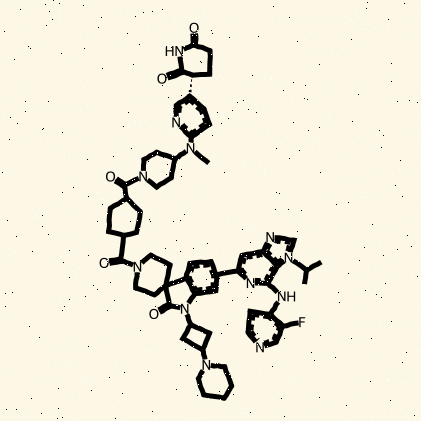 CC(C)n1cnc2cc(-c3ccc4c(c3)N(C3CC(N5CCCCC5)C3)C(=O)C43CCN(C(=O)C4CCC(C(=O)N5CCC(N(C)c6ccc([C@H]7CCC(=O)NC7=O)cn6)CC5)CC4)CC3)nc(Nc3ccncc3F)c21